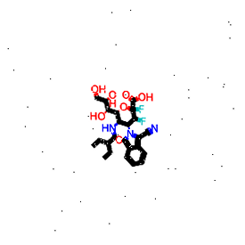 CCC(CC)C(=O)N[C@H]1[C@H]([C@H](O)[C@H](O)CO)OC(F)(C(=O)O)C(F)[C@@H]1n1cc2ccccc2c1C#N